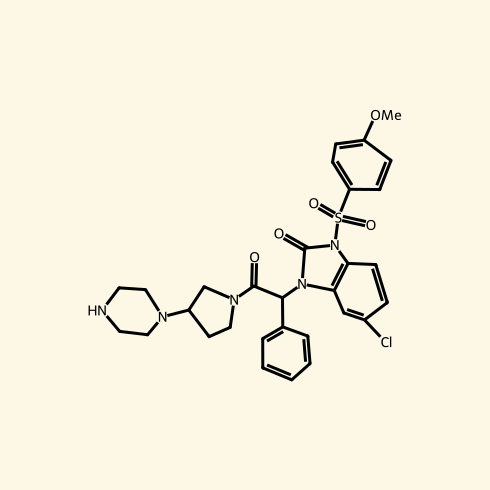 COc1ccc(S(=O)(=O)n2c(=O)n(C(C(=O)N3CCC(N4CCNCC4)C3)c3ccccc3)c3cc(Cl)ccc32)cc1